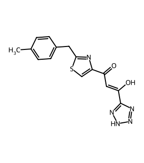 Cc1ccc(Cc2nc(C(=O)C=C(O)c3nn[nH]n3)cs2)cc1